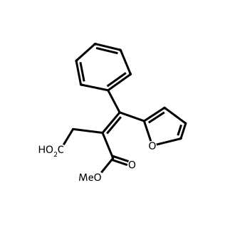 COC(=O)/C(CC(=O)O)=C(/c1ccccc1)c1ccco1